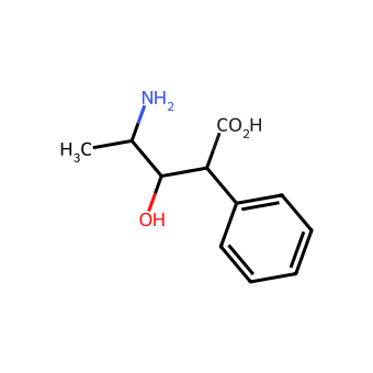 CC(N)C(O)C(C(=O)O)c1ccccc1